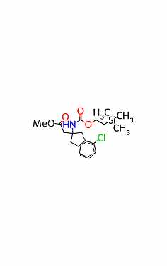 COC(=O)CC1(NC(=O)OCC[Si](C)(C)C)Cc2cccc(Cl)c2C1